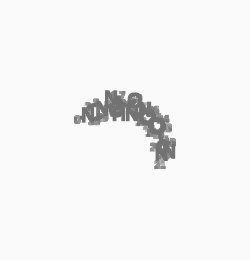 CN1CCN(c2ncc(C(=O)Nc3cc4cc(-c5cnn(C)c5)ccc4cn3)o2)CC1